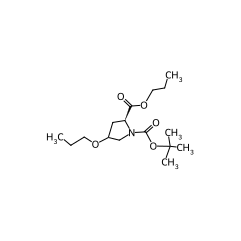 CCCOC(=O)[C@@H]1CC(OCCC)CN1C(=O)OC(C)(C)C